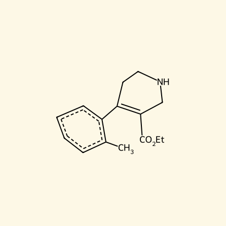 CCOC(=O)C1=C(c2ccccc2C)CCNC1